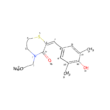 COCN1CCS/C(=C/c2cc(C)c(O)c(C)c2)C1=O